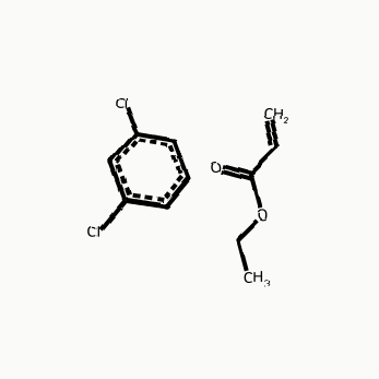 C=CC(=O)OCC.Clc1cccc(Cl)c1